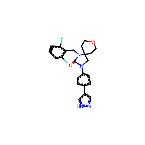 O=C1N(c2ccc(-c3cn[nH]c3)cc2)CC2(CCOCC2)N1Cc1c(F)c#ccc1F